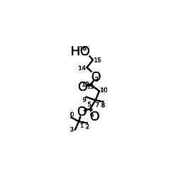 CC(C)(C)OC(=O)C(C)(C)CC(=O)OCCO